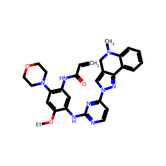 C=CC(=O)Nc1cc(Nc2nccc(-n3cc4c(n3)-c3ccccc3N(C)C4)n2)c(OCC)cc1N1CCOCC1